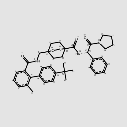 Cc1cccc(C(=O)NCC23CCC(C(=O)N[C@H](C(=O)N4CCCC4)c4ccccc4)(CC2)CC3)c1-c1ccc(C(C)(C)C)cc1